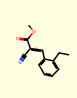 CCc1ccccc1/C=C(\C#N)C(=O)OC